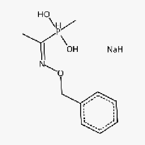 CC(=NOCc1ccccc1)[PH](C)(O)O.[NaH]